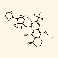 COc1c2c(c(O)c3c4c(c(C(F)(F)F)cc13)C1OC3(C5OCCO5)OC1[C@@](O)(O4)[C@@]31CO1)C(=O)CCC2